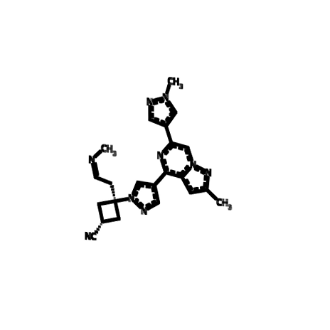 C/N=C\C[C@]1(n2cc(-c3nc(-c4cnn(C)c4)cn4nc(C)cc34)cn2)C[C@H](C#N)C1